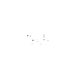 CC(C)(C)OC(=O)N1CCC(N)(F)C1